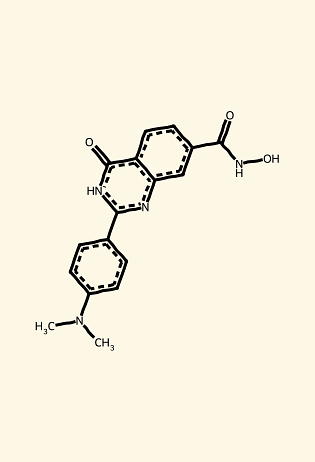 CN(C)c1ccc(-c2nc3cc(C(=O)NO)ccc3c(=O)[nH]2)cc1